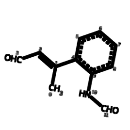 C/C(=C\C=O)c1ccccc1NC=O